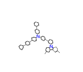 CC1=Cc2c(n(-c3cccc(-c4ccc(N(c5ccc(-c6ccccc6)cc5)c5ccc(-c6ccc(-c7ccccc7)cc6)cc5)cc4)c3)c3ccc(C)cc23)CC1